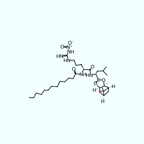 CCCCCCCCCCCCC(=O)N[C@@H](CCCNC(=N)N[N+](=O)[O-])C(=O)N[C@@H](CC(C)C)B1O[C@@H]2C[C@@H]3C[C@@H](C3(C)C)[C@]2(C)O1